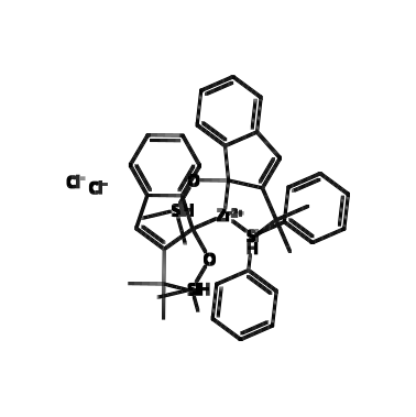 C[SiH](C)O[C]1([Zr+2]([SiH](c2ccccc2)c2ccccc2)[C]2(O[SiH](C)C)C(C(C)(C)C)=Cc3ccccc32)C(C(C)(C)C)=Cc2ccccc21.[Cl-].[Cl-]